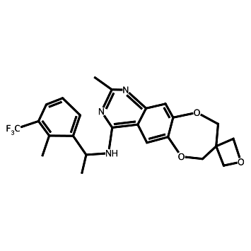 Cc1nc(NC(C)c2cccc(C(F)(F)F)c2C)c2cc3c(cc2n1)OCC1(COC1)CO3